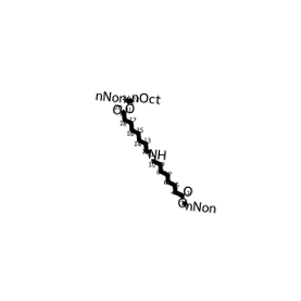 CCCCCCCCCOC(=O)CCCCCCCNCCCCCCCC(=O)OC(CCCCCCCC)CCCCCCCCC